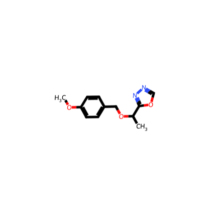 COc1ccc(COC(C)c2nnco2)cc1